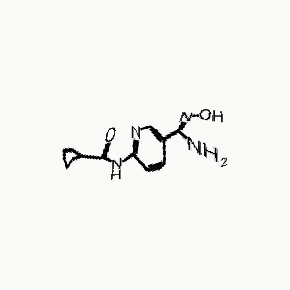 N/C(=N\O)c1ccc(NC(=O)C2CC2)nc1